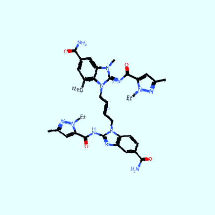 CCn1nc(C)cc1C(=O)/N=c1\n(C)c2cc(C(N)=O)cc(OC)c2n1C/C=C/Cn1c(NC(=O)c2cc(C)nn2CC)nc2cc(C(N)=O)ccc21